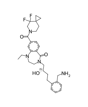 CCN1CCN(C[C@@H](O)CCc2ccccc2CN)C(=O)c2ccc(C(=O)N3CCC4(CC4)C(F)(F)C3)cc21